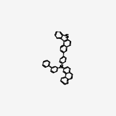 c1ccc(-c2cccc(N(c3ccc(-c4ccc5c(ccc6sc7ccccc7c65)c4)cc3)c3ccc4ccc5ccccc5c4c3)c2)cc1